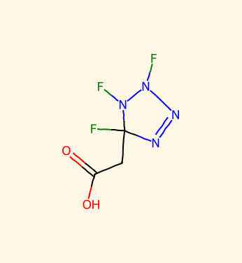 O=C(O)CC1(F)N=NN(F)N1F